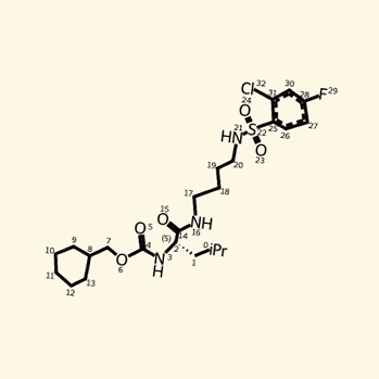 CC(C)C[C@H](NC(=O)OCC1CCCCC1)C(=O)NCCCCNS(=O)(=O)c1ccc(F)cc1Cl